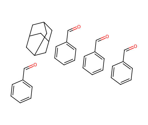 C1C2CC3CC1CC(C2)C3.O=Cc1ccccc1.O=Cc1ccccc1.O=Cc1ccccc1.O=Cc1ccccc1